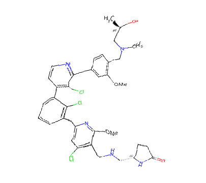 COc1cc(-c2nccc(-c3cccc(-c4cc(Cl)c(CNC[C@@H]5CCC(=O)N5)c(OC)n4)c3Cl)c2Cl)ccc1CN(C)C[C@@H](C)O